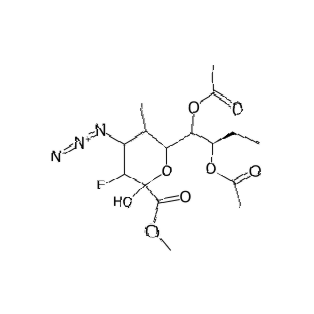 CC[C@@H](OC(C)=O)C(OC(C)=O)C1OC(O)(C(=O)OC)C(F)C(N=[N+]=[N-])C1C